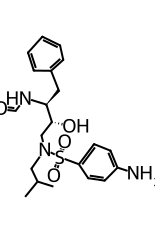 CC(C)CN(C[C@@H](O)[C@H](Cc1ccccc1)NC=O)S(=O)(=O)c1ccc(N)cc1